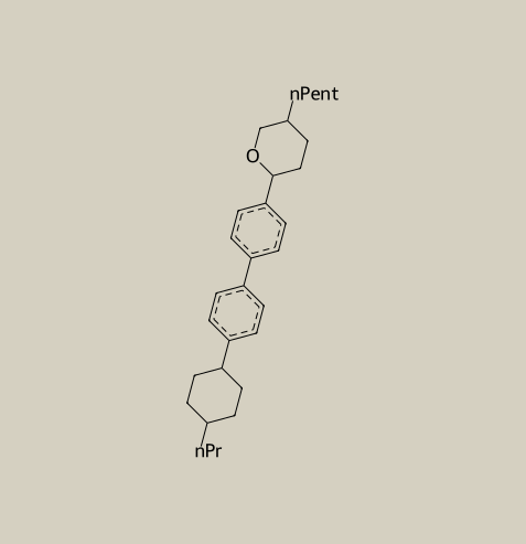 CCCCCC1CCC(c2ccc(-c3ccc(C4CCC(CCC)CC4)cc3)cc2)OC1